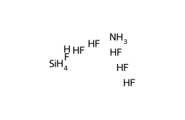 F.F.F.F.F.F.N.[SiH4]